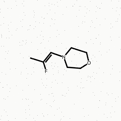 C/C(F)=C/N1CCOCC1